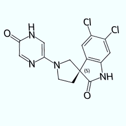 O=C1Nc2cc(Cl)c(Cl)cc2[C@]12CCN(c1c[nH]c(=O)cn1)C2